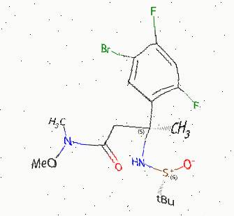 CON(C)C(=O)C[C@](C)(N[S@+]([O-])C(C)(C)C)c1cc(Br)c(F)cc1F